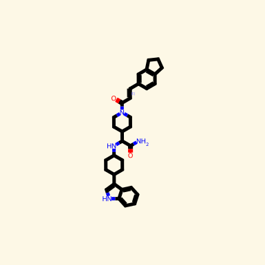 NC(=O)C(NC1CCC(c2c[nH]c3ccccc23)CC1)C1CCN(C(=O)/C=C/c2ccc3c(c2)CCC3)CC1